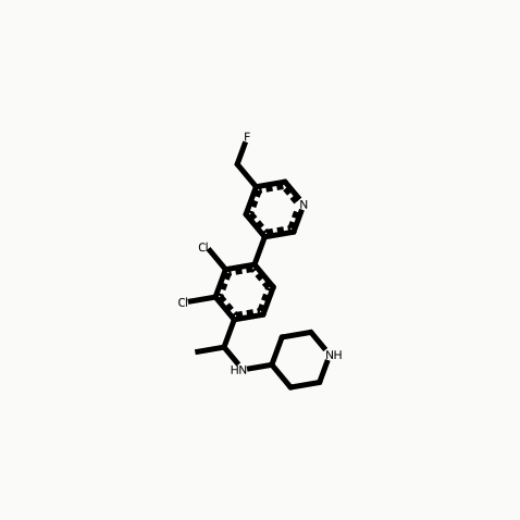 CC(NC1CCNCC1)c1ccc(-c2cncc(CF)c2)c(Cl)c1Cl